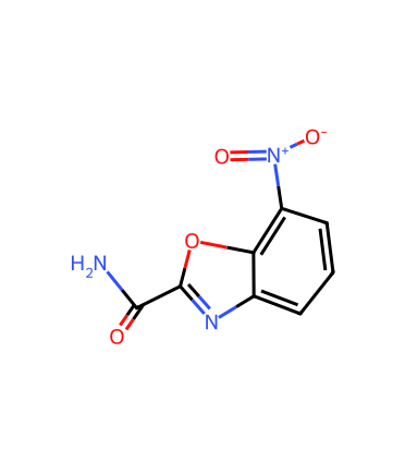 NC(=O)c1nc2cccc([N+](=O)[O-])c2o1